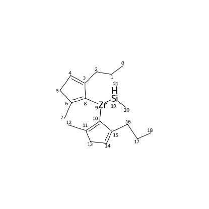 CCCC1=CCC(C)=[C]1[Zr]([C]1=C(C)CC=C1CCC)[SiH](C)C